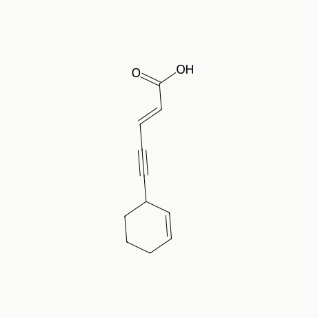 O=C(O)C=CC#CC1C=CCCC1